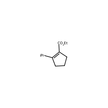 CCOC(=O)C1=C(C(C)C)CCC1